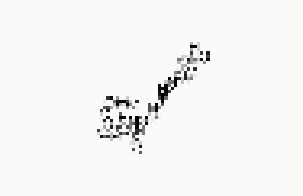 CCc1cccc2cc(OCOC)cc(-c3ncc4c(N5CC6CCC(C6)C5)nc(OCC5(CN6CCC(F)(CN7CCN(c8cc(F)c(C9CCC(=O)NC9=O)c(F)c8)CC7)CC6)CC5)nc4c3F)c12